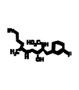 CC(C)CCCC(C)NC[C@@H](O)[C@H](Cc1cccc(F)c1)NC(=O)O